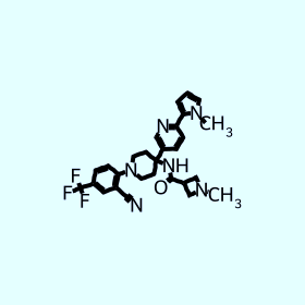 CN1CC(C(=O)NC2(c3ccc(-c4cccn4C)nc3)CCN(c3ccc(C(F)(F)F)cc3C#N)CC2)C1